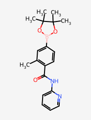 Cc1cc(B2OC(C)(C)C(C)(C)O2)ccc1C(=O)Nc1ccccn1